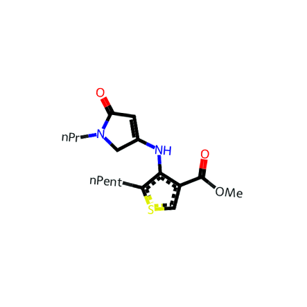 CCCCCc1scc(C(=O)OC)c1NC1=CC(=O)N(CCC)C1